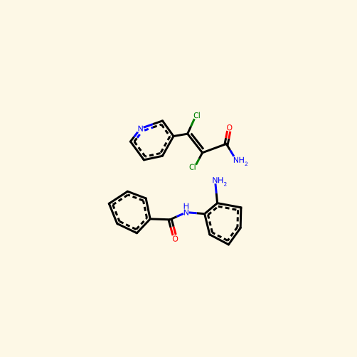 NC(=O)C(Cl)=C(Cl)c1cccnc1.Nc1ccccc1NC(=O)c1ccccc1